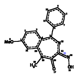 COc1ccc2c(-c3ccccc3)n/c(=N/O)c(=O)n(C)c2c1